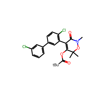 CN1OC(C)(C)C(OC(=O)C(C)(C)C)=C(c2cc(-c3cccc(Cl)c3)ccc2Cl)C1=O